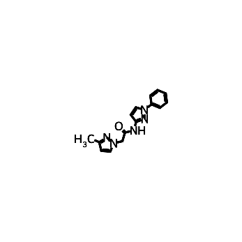 Cc1ccn(CC(=O)Nc2ccn(-c3ccccc3)n2)n1